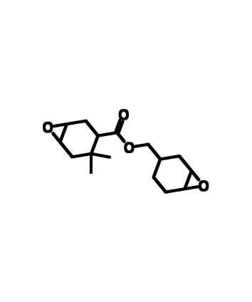 CC1(C)CC2OC2CC1C(=O)OCC1CCC2OC2C1